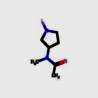 CC(=O)N(C)C1CCN(I)C1